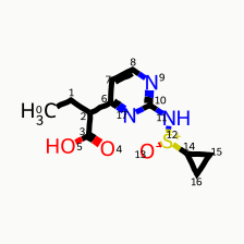 CCC(C(=O)O)c1ccnc(N[S+]([O-])C2CC2)n1